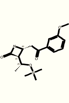 COc1cccc(C(=O)C[C@H]2[N]C(=O)[C@@H]2[C@@H](C)O[Si](C)(C)C)c1